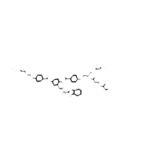 C=CC(=O)OCCC(=O)OC(COC(=O)C=C)COc1ccc(C(=O)Oc2ccc(OC(=O)c3ccc(OCOC(=O)C=C)cc3)cc2/C=N/Nc2nc3ccccc3s2)cc1